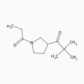 CCC(=O)N1CCC(C(=O)C(C)(C)C)C1